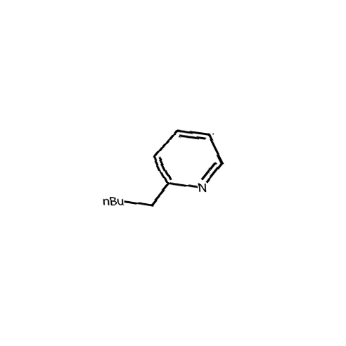 CCCCCc1cc[c]cn1